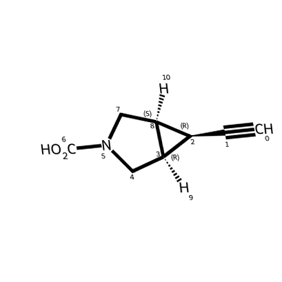 C#C[C@H]1[C@H]2CN(C(=O)O)C[C@@H]12